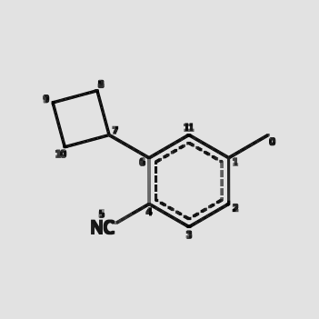 Cc1ccc(C#N)c(C2CCC2)c1